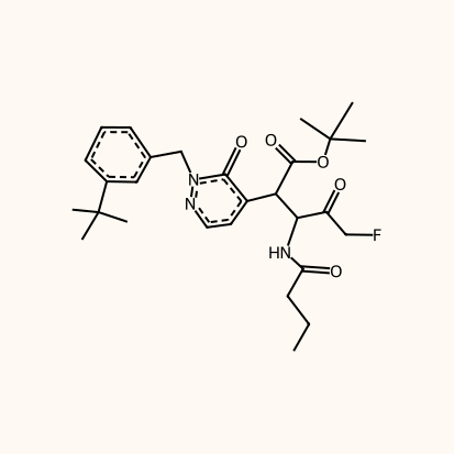 CCCC(=O)NC(C(=O)CF)C(C(=O)OC(C)(C)C)c1ccnn(Cc2cccc(C(C)(C)C)c2)c1=O